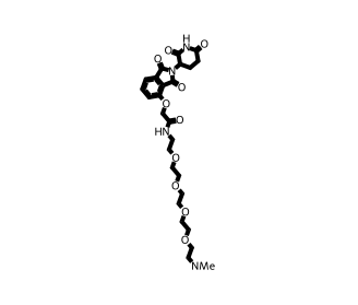 CNCCOCCOCCOCCOCCNC(=O)COc1cccc2c1C(=O)N(C1CCC(=O)NC1=O)C2=O